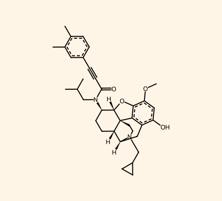 COc1cc(O)c2c3c1O[C@H]1[C@H](N(CC(C)C)C(=O)C#Cc4ccc(C)c(C)c4)CC[C@H]4[C@@H](C2)N(CC2CC2)CC[C@@]341